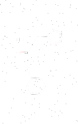 CC(C)(Cc1ccco1)C(=O)OCc1ccccc1